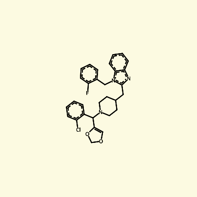 Fc1ccccc1Cn1c(CC2CCN(C(C3=COCO3)c3ccccc3Cl)CC2)nc2ccccc21